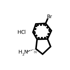 Cl.N[C@H]1CCc2cc(Br)ccc21